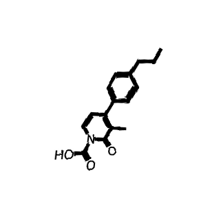 CCCc1ccc(-c2ccn(C(=O)O)c(=O)c2C)cc1